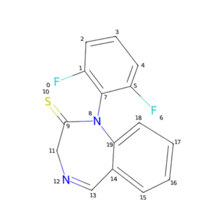 Fc1cccc(F)c1N1C(=S)CN=Cc2ccccc21